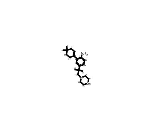 CC1(C)CC=C(c2cc(C(C)(C)CN3CCSCC3)ccc2N)CC1